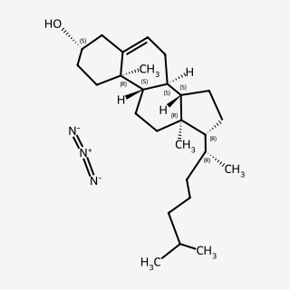 CC(C)CCC[C@@H](C)[C@H]1CC[C@H]2[C@@H]3CC=C4C[C@@H](O)CC[C@]4(C)[C@H]3CC[C@]12C.[N-]=[N+]=[N-]